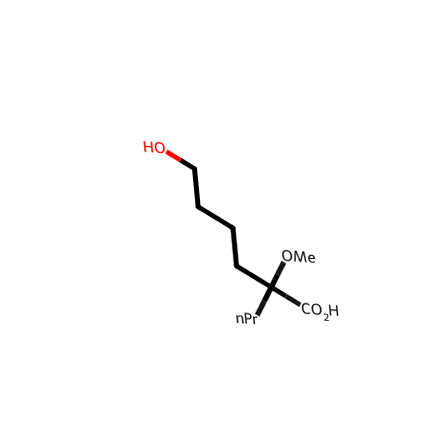 CCCC(CCCCO)(OC)C(=O)O